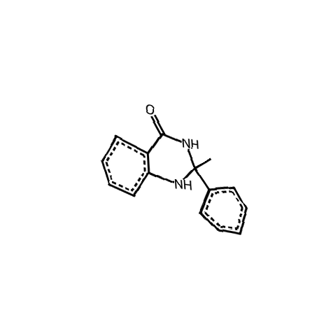 CC1(c2ccccc2)NC(=O)c2ccccc2N1